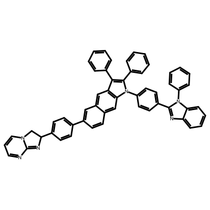 C1=CN2CC(c3ccc(-c4ccc5cc6c(cc5c4)c(-c4ccccc4)c(-c4ccccc4)n6-c4ccc(-c5nc6ccccc6n5-c5ccccc5)cc4)cc3)N=C2N=C1